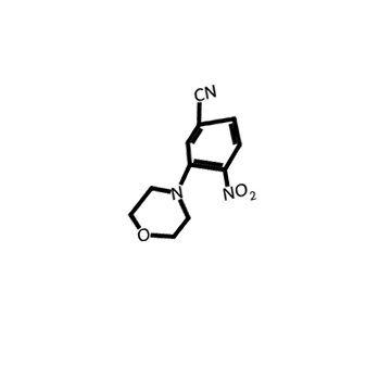 N#Cc1ccc([N+](=O)[O-])c(N2CCOCC2)c1